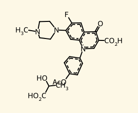 CC(=O)Oc1ccc(-n2cc(C(=O)O)c(=O)c3cc(F)c(N4CCN(C)CC4)cc32)cc1.CC(O)C(=O)O